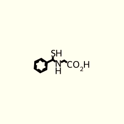 O=C(O)CNC(S)c1ccccc1